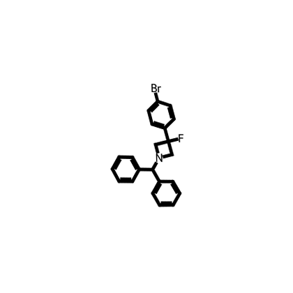 FC1(c2ccc(Br)cc2)CN(C(c2ccccc2)c2ccccc2)C1